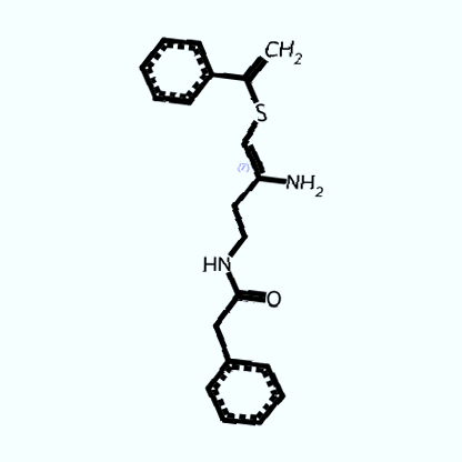 C=C(S/C=C(\N)CCNC(=O)Cc1ccccc1)c1ccccc1